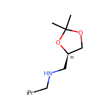 CC(C)CNC[C@@H]1COC(C)(C)O1